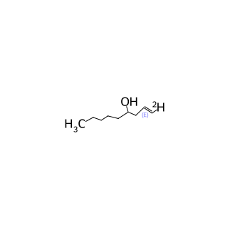 [2H]/C=C/CC(O)CCCCC